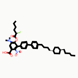 CCCCC[C@H]1CC[C@H](CCCCc2ccc(-c3ccc(-c4c(OC(=O)[C@H](F)CCCC)c(N(C)C)cc(C(=O)O)c4[N+](=O)[O-])cc3)cc2)CC1